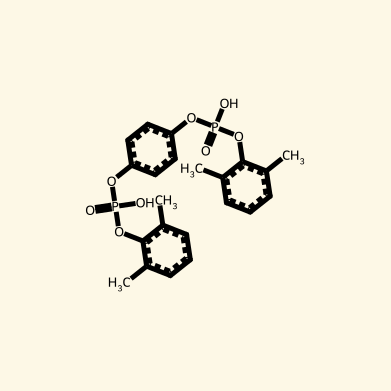 Cc1cccc(C)c1OP(=O)(O)Oc1ccc(OP(=O)(O)Oc2c(C)cccc2C)cc1